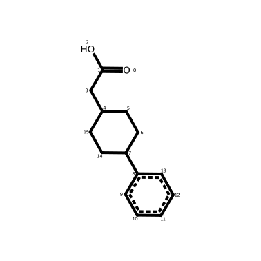 O=C(O)CC1CCC(c2cc[c]cc2)CC1